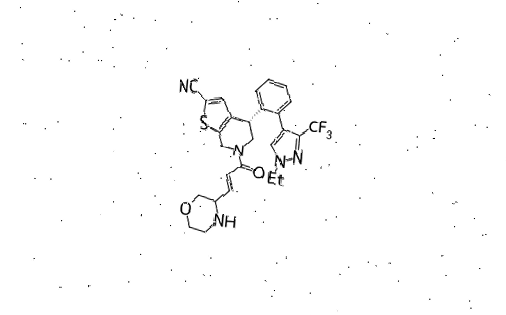 CCn1cc(-c2ccccc2[C@@H]2CN(C(=O)/C=C/C3COCCN3)Cc3sc(C#N)cc32)c(C(F)(F)F)n1